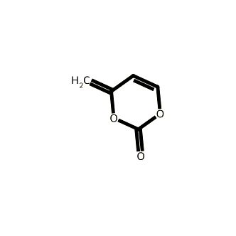 C=C1C=COC(=O)O1